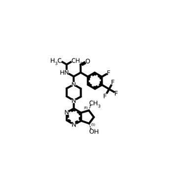 CC(C)NC(C(C=O)c1ccc(C(F)(F)F)c(F)c1)N1CCN(c2ncnc3c2[C@H](C)C[C@@H]3O)CC1